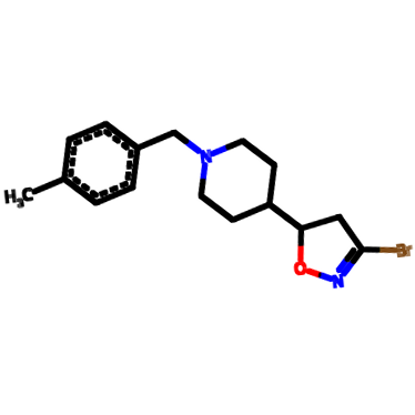 Cc1ccc(CN2CCC(C3CC(Br)=NO3)CC2)cc1